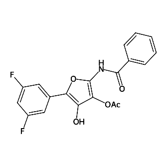 CC(=O)Oc1c(NC(=O)c2ccccc2)oc(-c2cc(F)cc(F)c2)c1O